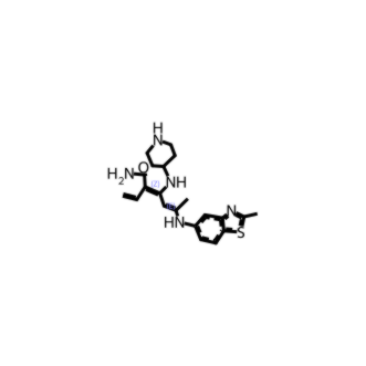 C=C/C(C(N)=O)=C(\C=C(/C)Nc1ccc2sc(C)nc2c1)NC1CCNCC1